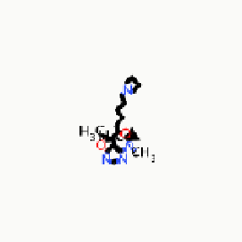 Cc1oc2ncnc(N(C)C3(C)CC3)c2c1C(=O)CCCCCN1CCCC1